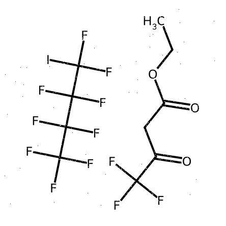 CCOC(=O)CC(=O)C(F)(F)F.FC(F)(F)C(F)(F)C(F)(F)C(F)(F)I